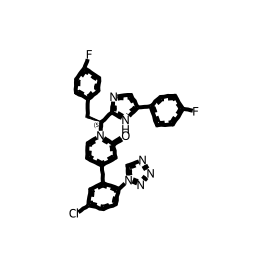 O=c1cc(-c2cc(Cl)ccc2-n2cnnn2)ccn1[C@@H](Cc1ccc(F)cc1)c1ncc(-c2ccc(F)cc2)[nH]1